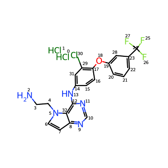 Cl.Cl.NCCn1ccc2ncnc(Nc3ccc(Oc4cccc(C(F)(F)F)c4)c(Cl)c3)c21